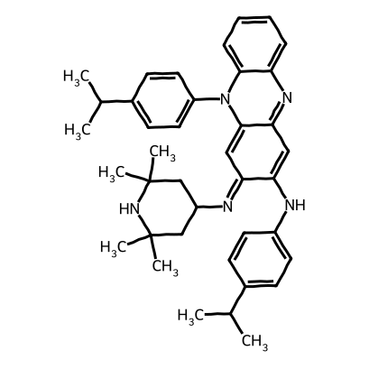 CC(C)c1ccc(Nc2cc3nc4ccccc4n(-c4ccc(C(C)C)cc4)c-3cc2=NC2CC(C)(C)NC(C)(C)C2)cc1